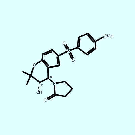 COc1ccc(S(=O)(=O)c2ccc3c(c2)[C@@H](N2CCCC2=O)[C@H](O)C(C)(C)O3)cc1